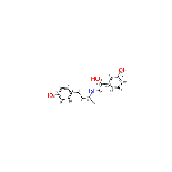 CC(CCc1ccc(O)cc1)NCC(O)c1cccc(O)c1